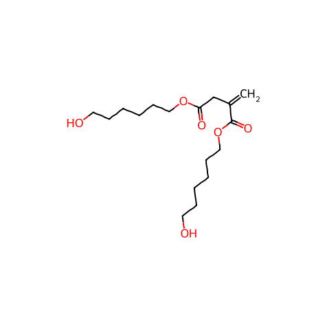 C=C(CC(=O)OCCCCCCO)C(=O)OCCCCCCO